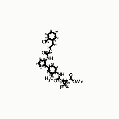 COC(=O)[C@H]1[C@H](C(=O)Nc2ccc(-c3sccc3NC(=O)OCCc3ccccc3Cl)nc2C)C1(F)F